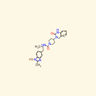 Cc1nc2cc(CC(C)NC(=O)N3CCC(N4Cc5ccccc5NC4=O)CC3)ccc2n1S